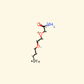 COCCCOCCOCC(N)=O